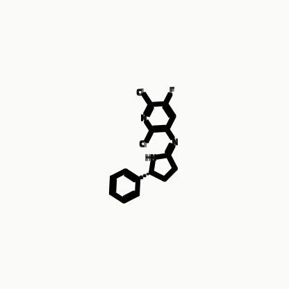 Fc1cc(N=C2CC[C@H](c3ccccc3)N2)c(Cl)nc1Cl